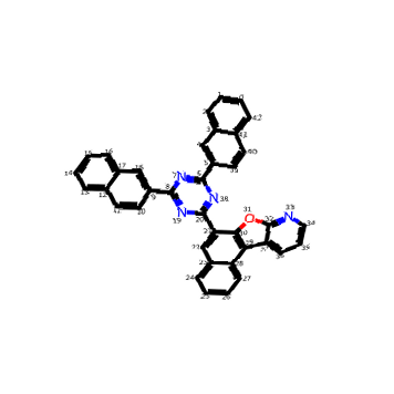 c1ccc2cc(-c3nc(-c4ccc5ccccc5c4)nc(-c4cc5ccccc5c5c4oc4ncccc45)n3)ccc2c1